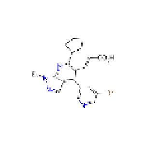 CCn1ncc2c(-c3cncc(Br)c3)c(/C=C/C(=O)O)c(C3CCCC3)nc21